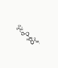 NC(=O)c1cccc2[nH]c(-c3cccc(-n4ccc(CNC(=O)C(F)(F)F)c4)c3)nc12